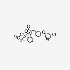 O=C1OC(C(Cl)(C(=O)O)c2ccccc2)=NC1=Cc1cccc(Oc2cncc(Cl)c2)c1